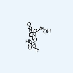 CCC(CC)(NC(=O)c1ccc(N2CC(OC)C2)c(OCC2C[C@@H]2CO)n1)C(=O)OCCF